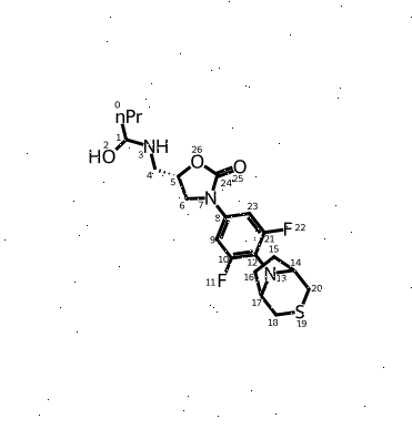 CCCC(O)NC[C@H]1CN(c2cc(F)c(N3C4CCC3CSC4)c(F)c2)C(=O)O1